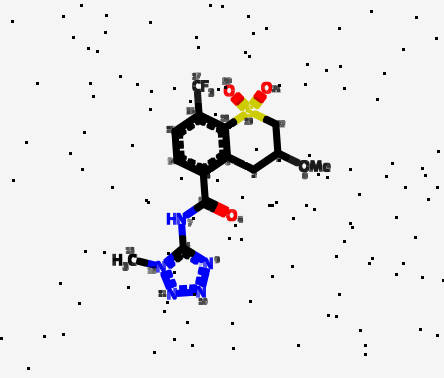 COC1Cc2c(C(=O)Nc3nnnn3C)ccc(C(F)(F)F)c2S(=O)(=O)C1